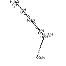 BC(=O)[C@@H](N)CCCCNC(=O)COCCOCCNC(=O)COCCOCCNC(=O)CC[C@H](NC(=O)CCCCCCCCCCCCCCC(=O)O)C(=O)O